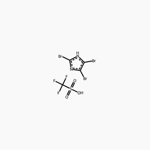 Brc1nc(Br)c(Br)[nH]1.O=S(=O)(O)C(F)(F)F